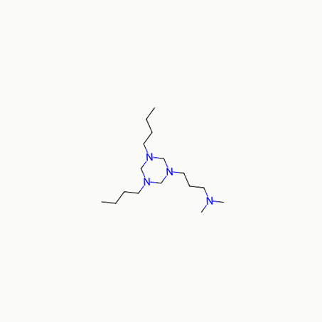 CCCCN1CN(CCCC)CN(CCCN(C)C)C1